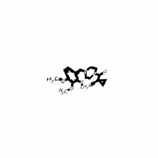 COc1ccc(CN2CCN(C(=O)C3(C#N)CC3)CC2)c(OC)c1OC